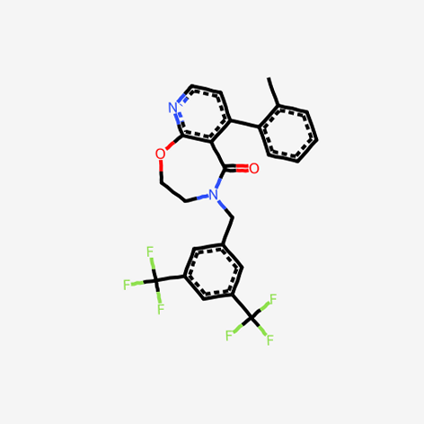 Cc1ccccc1-c1ccnc2c1C(=O)N(Cc1cc(C(F)(F)F)cc(C(F)(F)F)c1)CCO2